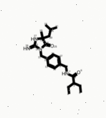 CCC(CC)C(=O)NCc1ccc(CN2C(=N)NC(C)(CC(C)C)C2=O)cc1